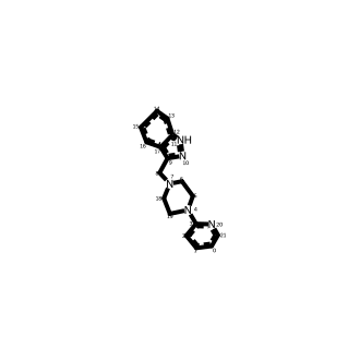 c1ccc(N2CCN(Cc3n[nH]c4ccccc34)CC2)nc1